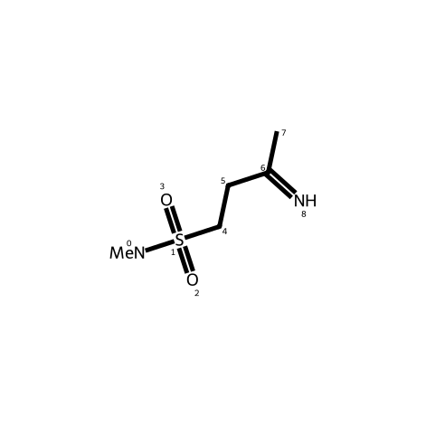 CNS(=O)(=O)CCC(C)=N